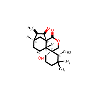 C=C1C(=O)[C@]23C[C@H]1C[C@@H](O)[C@H]2[C@@]1(CCCC(C)(C)[C@H]1C=O)COC3=O